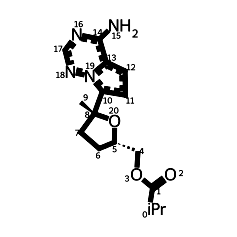 CC(C)C(=O)OC[C@@H]1CC[C@](C)(c2ccc3c(N)ncnn23)O1